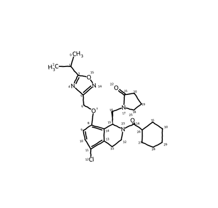 CC(C)c1nc(COc2ccc(Cl)c3c2[C@@H](CN2CCCC2=O)N(C(=O)C2CCCCC2)CC3)no1